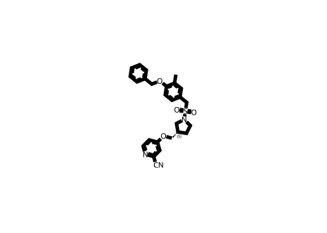 Cc1cc(CS(=O)(=O)N2CC[C@H](COc3ccnc(C#N)c3)C2)ccc1OCc1ccccc1